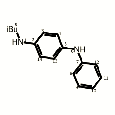 C[CH]C(C)Nc1ccc(Nc2ccccc2)cc1